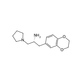 N[C@H](Cc1ccc2c(c1)OCCO2)CN1CCCC1